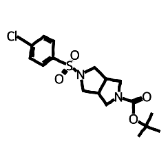 CC(C)(C)OC(=O)N1CC2CN(S(=O)(=O)c3ccc(Cl)cc3)CC2C1